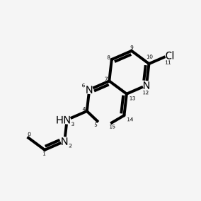 C/C=N\NC(C)/N=C1/C=CC(Cl)=N/C1=C/C